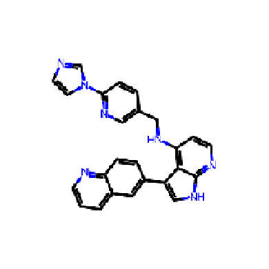 c1cnc2ccc(-c3c[nH]c4nccc(NCc5ccc(-n6ccnc6)nc5)c34)cc2c1